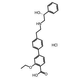 CCOc1cc(-c2ccc(CCNC[C@H](O)c3ccccc3)cc2)ccc1C(=O)O.Cl